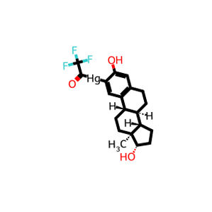 C[C@]12CC[C@@H]3c4c[c]([Hg][C](=O)C(F)(F)F)c(O)cc4CC[C@H]3[C@@H]1CC[C@@H]2O